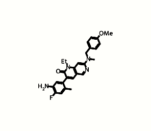 CCn1c(=O)c(-c2cc(N)c(F)cc2C)cc2cnc(N(C)Cc3ccc(OC)cc3)cc21